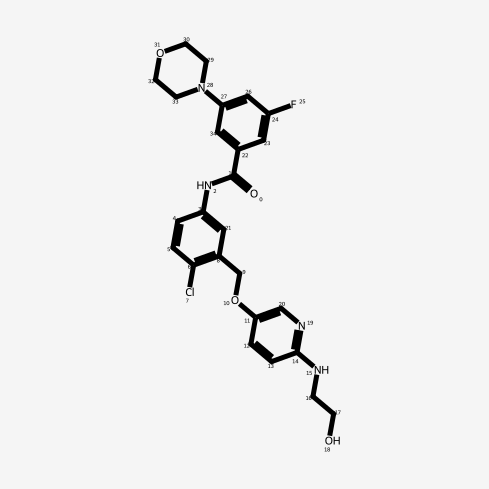 O=C(Nc1ccc(Cl)c(COc2ccc(NCCO)nc2)c1)c1cc(F)cc(N2CCOCC2)c1